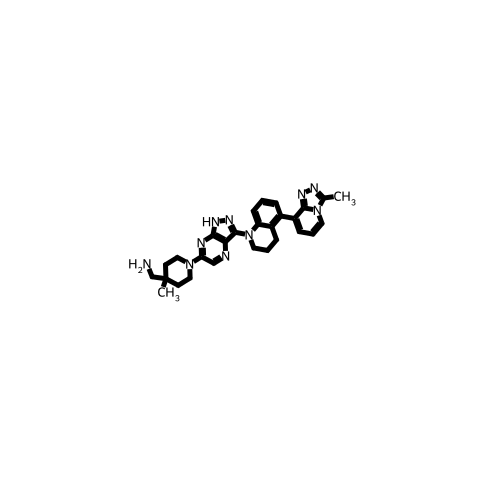 Cc1nnc2c(-c3cccc4c3CCCN4c3n[nH]c4nc(N5CCC(C)(CN)CC5)cnc34)cccn12